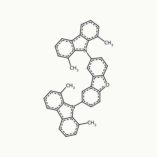 Cc1cccc2c3cccc(C)c3n(-c3ccc4oc5ccc(-n6c7c(C)cccc7c7cccc(C)c76)cc5c4c3)c12